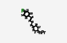 CCCC1CCC(CCC=Cc2ccc(F)cc2)CC1